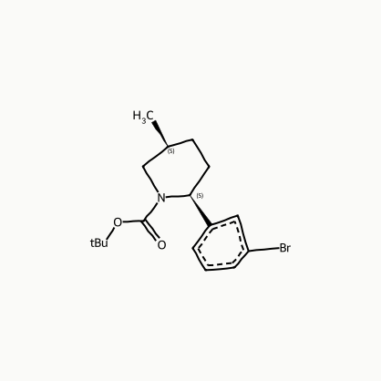 C[C@H]1CC[C@@H](c2cccc(Br)c2)N(C(=O)OC(C)(C)C)C1